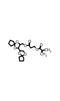 C=C(C)C(=O)OCCC(=O)OCC1OC2(CCCC2)OC1C1COC2(CCCC2)O1